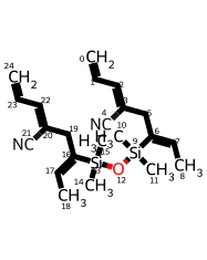 C=C/C=C(\C#N)C/C(=C/C)[Si](C)(C)O[Si](C)(C)/C(=C\C)C/C(C#N)=C/C=C